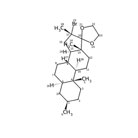 C[C@@H]1CC[C@]2(C)[C@H](CC[C@H]3[C@H]2CC[C@]2(C)[C@@H]3C[C@](C)(Br)C23OCCO3)C1